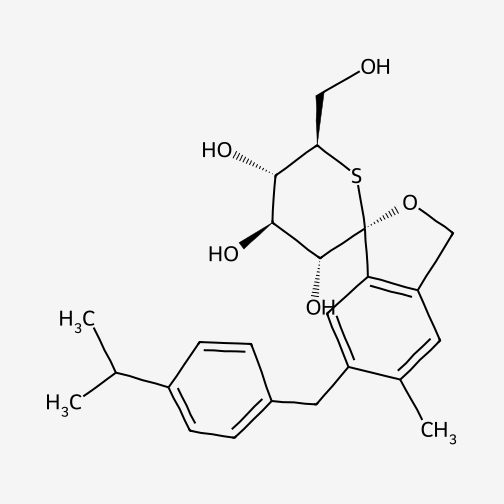 Cc1cc2c(cc1Cc1ccc(C(C)C)cc1)[C@]1(OC2)S[C@H](CO)[C@@H](O)[C@H](O)[C@H]1O